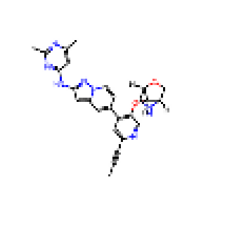 CC#Cc1cc(-c2ccn3nc(Nc4cc(C)nc(C)n4)cc3c2)c(O[C@@H]2[C@@H]3CO[C@H]2CN3)cn1